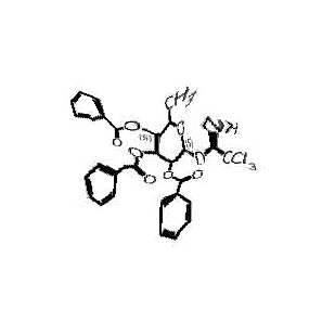 CC1O[C@@H](OC(=N)C(Cl)(Cl)Cl)C(OC(=O)c2ccccc2)C(OC(=O)c2ccccc2)[C@H]1OC(=O)c1ccccc1